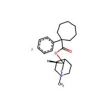 C[N+]12CCC(CC1)[C@@H](OC(=O)C1(c3ccccc3)CCCCCC1)C2.[I-]